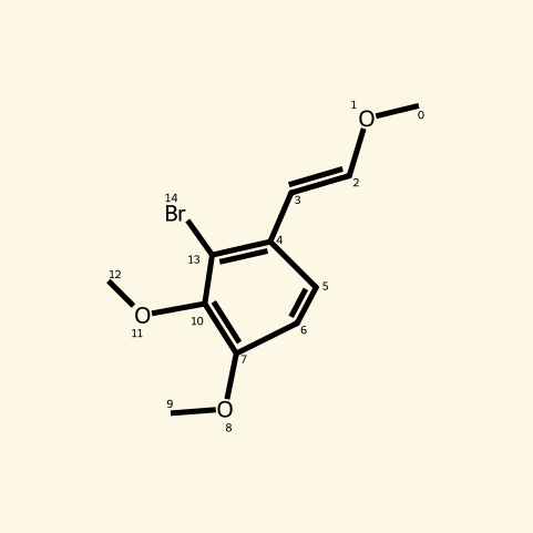 CO/C=C/c1ccc(OC)c(OC)c1Br